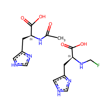 CC(=O)N[C@@H](Cc1c[nH]cn1)C(=O)O.O=C(O)[C@H](Cc1c[nH]cn1)NCF